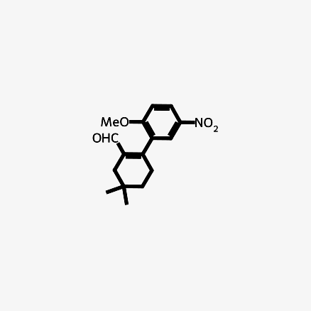 COc1ccc([N+](=O)[O-])cc1C1=C(C=O)CC(C)(C)CC1